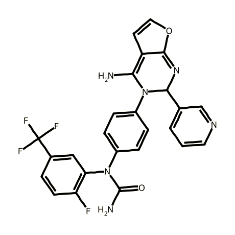 NC(=O)N(c1ccc(N2C(N)=c3ccoc3=NC2c2cccnc2)cc1)c1cc(C(F)(F)F)ccc1F